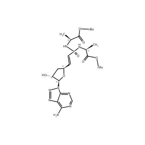 CCCCOC(=O)[C@H](C)NP(=O)(/C=C/[C@@H]1C[C@@H](O)[C@H](n2nnc3c(N)ncnc32)O1)N[C@@H](C)C(=O)OCCCC